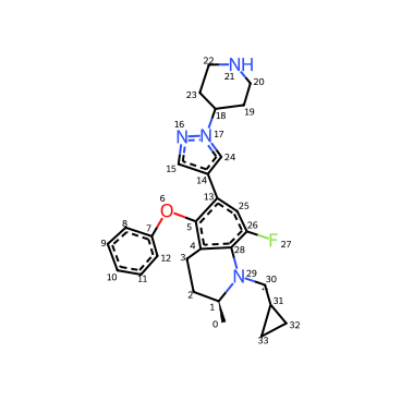 C[C@H]1CCc2c(Oc3ccccc3)c(-c3cnn(C4CCNCC4)c3)cc(F)c2N1[C]C1CC1